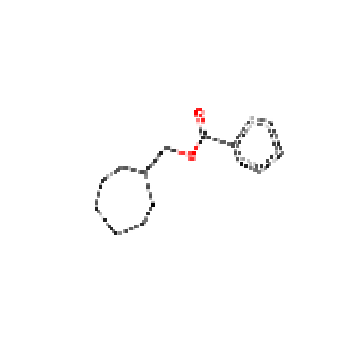 O=C(OCC1CCCCCC1)c1ccccc1